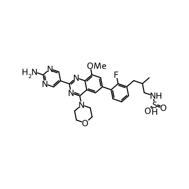 COc1cc(-c2cccc(CC(C)CN[SH](=O)=O)c2F)cc2c(N3CCOCC3)nc(-c3cnc(N)nc3)nc12